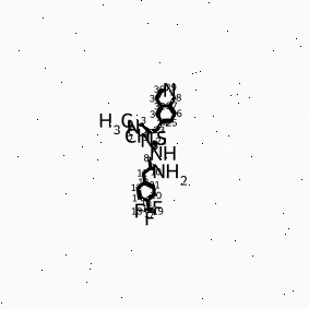 CN(C)Cc1nc(NCC(N)Cc2ccc(C(F)(F)F)cc2)sc1-c1ccc2cnccc2c1